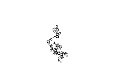 CCn1nc(C2CC2)cc1Nc1nc(C(=O)NCCCn2cnc(COCCCc3cccc4c3CN(C3CCC(=O)NC3=O)C4=O)c2)nc2[nH]c3cc(-c4c(C)noc4C)c(OC)cc3c12